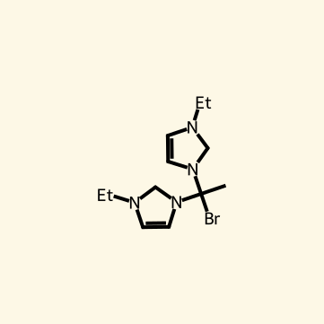 CCN1C=CN(C(C)(Br)N2C=CN(CC)C2)C1